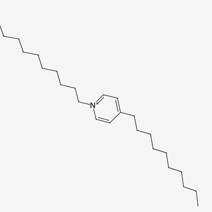 CCCCCCCCCCc1cc[n+](CCCCCCCCCC)cc1